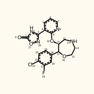 O=c1[nH]c(-c2cccnc2O[C@H]2CNCCOC2c2ccc(Cl)c(F)c2)no1